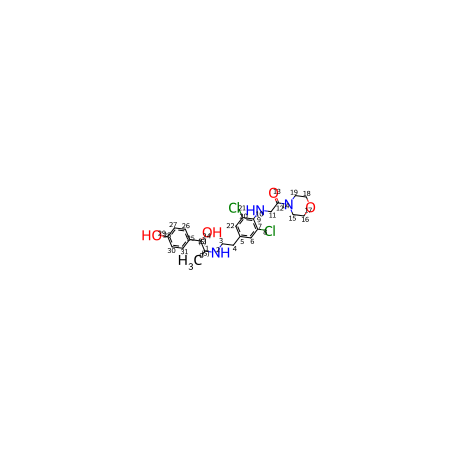 C[C@H](NCCc1cc(Cl)c(NCC(=O)N2CCOCC2)c(Cl)c1)[C@@H](O)c1ccc(O)cc1